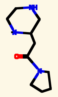 O=C(CC1CNCC[N]1)N1CCCC1